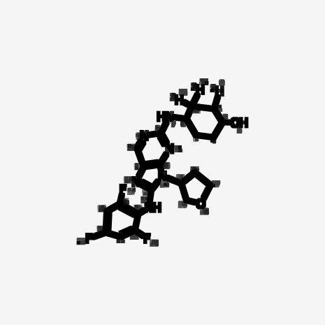 [2H]C1C(O)CCC(Nc2ncc3nc(Nc4c(F)cc(F)cc4F)n(C4CCOC4)c3n2)C1([2H])[2H]